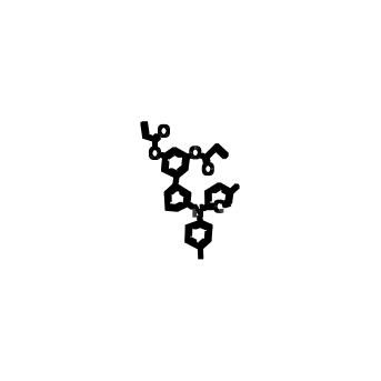 C=CC(=O)Oc1cc(OC(=O)C=C)cc(-c2cccc(N(c3ccc(C)cc3)c3ccc(C)cc3)c2)c1